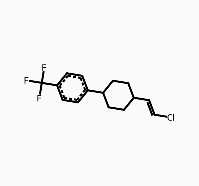 FC(F)(F)c1ccc(C2CCC(/C=C/Cl)CC2)cc1